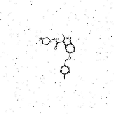 Cc1ccc(COc2ccc3oc(C)c(C(=O)N[C@H]4CCNC4)c3c2)cc1